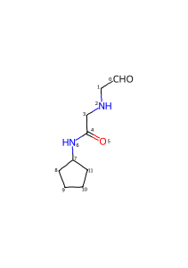 O=CCNCC(=O)NC1CCCC1